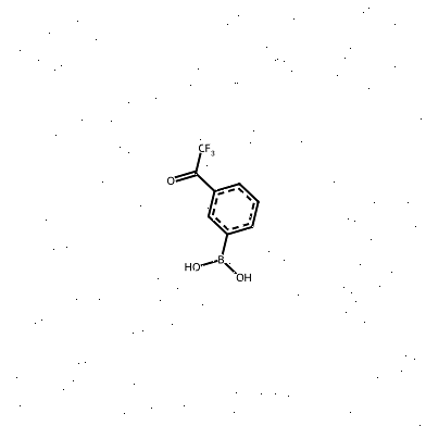 O=C(c1cccc(B(O)O)c1)C(F)(F)F